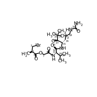 C=C(CBr)C(=O)OCC(=O)N[C@H](C(=O)N[C@@H](CCCNC(N)=O)C(=O)C(C)(C)C)C(C)C